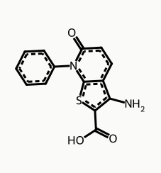 Nc1c(C(=O)O)sc2c1ccc(=O)n2-c1ccccc1